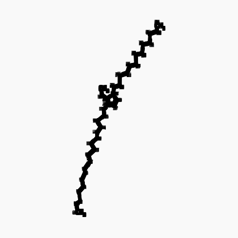 CCCCCCCCCCCCCCCCCC[n+]1ccn(CCCCCCCCCCCCC)c1CC